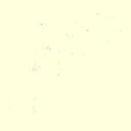 CCCC1N[C@@H]([C@H](O)[C@H](Cc2ccccc2)NC(=O)O)C(=O)N1Cc1ccccc1